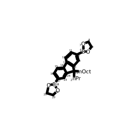 CCCCCCCCC1(CCC)c2cc(B3OCCO3)ccc2-c2ccc(B3OCCO3)cc21